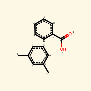 Cc1cccc(C)c1.O=C(O)c1ccccc1